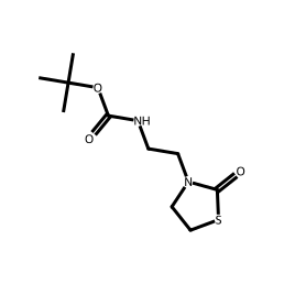 CC(C)(C)OC(=O)NCCN1CCSC1=O